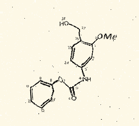 COc1cc(NC(=O)Oc2ccccc2)ccc1CO